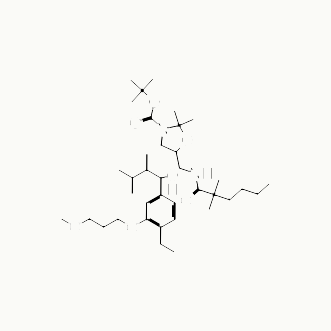 CCCCC(C)(C)C(=O)NCC1OC(C)(C)N(C(=O)OC(C)(C)C)[C@H]1CC(C(C)C)C(O)c1ccc(CC)c(OCCCOC)c1